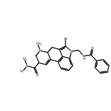 CCN(CC)C(=O)C1C=C2c3cccc4c3c(c(Br)n4CNC(=O)c3ccccc3)CC2N(C)C1